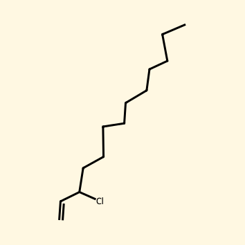 C=CC(Cl)CCCCCCCCCC